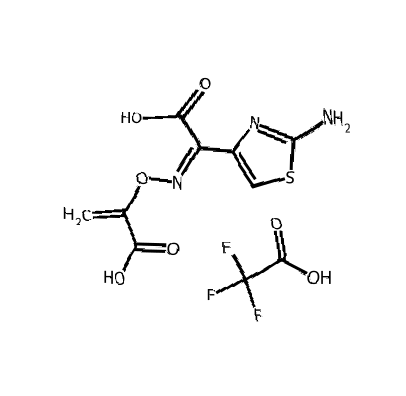 C=C(ON=C(C(=O)O)c1csc(N)n1)C(=O)O.O=C(O)C(F)(F)F